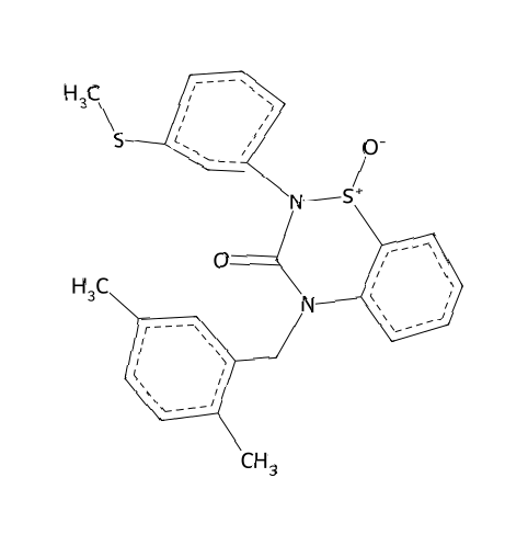 CSc1cccc(N2C(=O)N(Cc3cc(C)ccc3C)c3ccccc3[S+]2[O-])c1